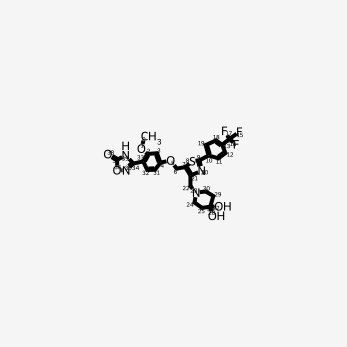 COc1cc(OCc2sc(-c3ccc(C(F)(F)F)cc3)nc2CN2CCC(O)(O)CC2)ccc1-c1noc(=O)[nH]1